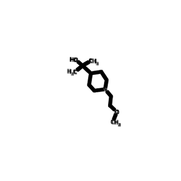 COCCN1CCC(C(C)(C)O)CC1